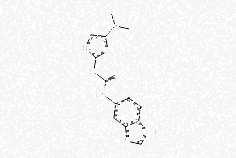 CC(C)c1cnc(NC(=O)Nc2ccc3[nH]cnc3c2)s1